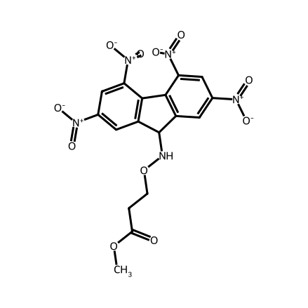 COC(=O)CCONC1c2cc([N+](=O)[O-])cc([N+](=O)[O-])c2-c2c1cc([N+](=O)[O-])cc2[N+](=O)[O-]